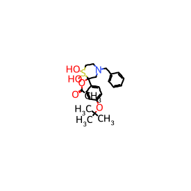 CC(=O)OC1(c2ccc(OC(C)(C)C)cc2)CN(Cc2ccccc2)CCS1(O)O